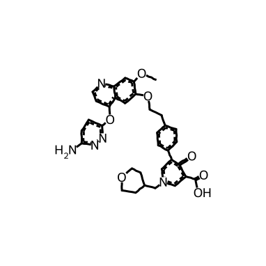 COc1cc2nccc(Oc3ccc(N)nn3)c2cc1OCCc1ccc(-c2cn(CC3CCOCC3)cc(C(=O)O)c2=O)cc1